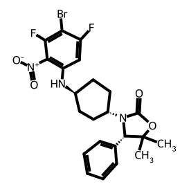 CC1(C)OC(=O)N([C@H]2CC[C@H](Nc3cc(F)c(Br)c(F)c3[N+](=O)[O-])CC2)[C@H]1c1ccccc1